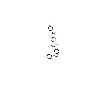 Cc1nc2ccc(C(=O)Nc3ccc(NC(=O)c4ccc(F)cc4)cc3)cc2n1-c1ccc(F)cc1